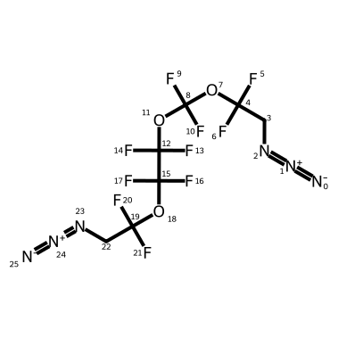 [N-]=[N+]=NCC(F)(F)OC(F)(F)OC(F)(F)C(F)(F)OC(F)(F)CN=[N+]=[N-]